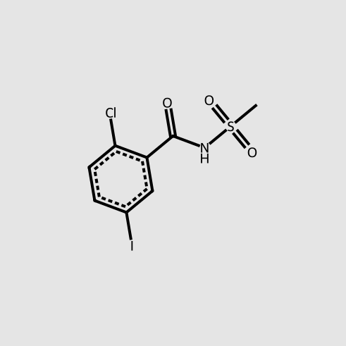 CS(=O)(=O)NC(=O)c1cc(I)ccc1Cl